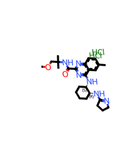 COCC(C)(C)NC(=O)c1nc(N[C@H]2CCCC[C@H]2NC2=NCCC2)c2cc(C)ccc2n1.Cl.Cl